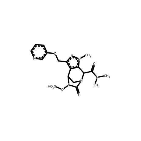 CN(C)C(=O)C1c2c(c(COc3cccnc3)nn2C)C2CN1C(=O)N2OS(=O)(=O)O